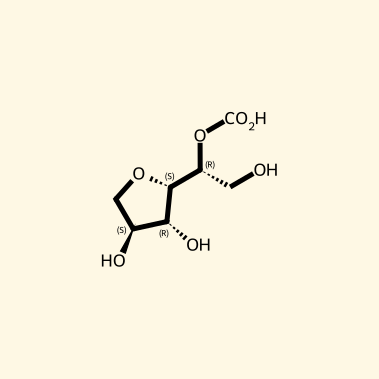 O=C(O)O[C@H](CO)[C@H]1OC[C@H](O)[C@H]1O